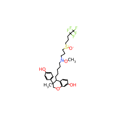 CON(CCCCCC1c2ccc(O)cc2OCC1(C)c1ccc(O)cc1)CCC[S+]([O-])CCCC(F)(F)C(F)(F)F